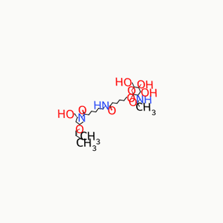 CC(=O)NC1C(OCCCCCC(=O)NCCCCCC(=O)N2C[C@H](O/C=C\C(C)C)C[C@H]2CO)OC(CO)C(O)C1O